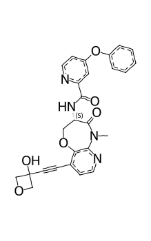 CN1C(=O)[C@@H](NC(=O)c2cc(Oc3ccccc3)ccn2)COc2c(C#CC3(O)COC3)ccnc21